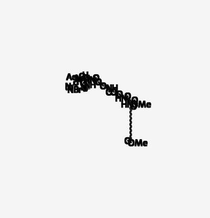 COC(=O)CCCCCCCCCCCCCCCCC(=O)N[C@@H](CCC(=O)NCCOCCOCC(=O)NCCOCCOCC(=O)NC[C@@]12C[C@@H](C(=O)Nc3nc(Br)ccc3C)C(C(=O)Cn3nc(C(C)=O)c4cc(-c5cnc(C)nc5)ccc43)[C@@H]1C2)C(=O)OC